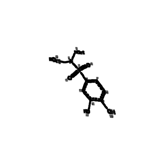 CCCCCCCCN(CCCCCCCC)S(=O)(=O)c1ccc(O)c(O)c1